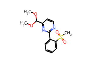 COC(OC)c1ccnc(-c2ccccc2S(C)(=O)=O)n1